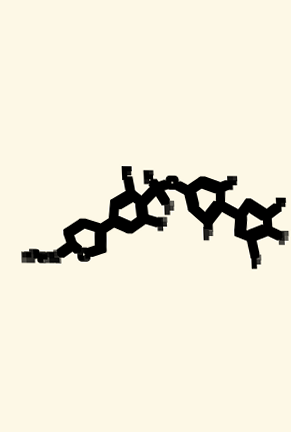 CCCCCC1CCC(c2cc(F)c(C(F)(F)Oc3cc(F)c(-c4cc(F)c(F)c(F)c4)c(F)c3)c(F)c2)=CO1